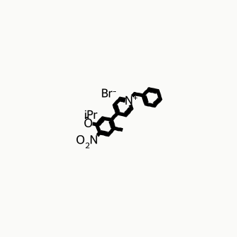 Cc1cc([N+](=O)[O-])c(OC(C)C)cc1-c1cc[n+](Cc2ccccc2)cc1.[Br-]